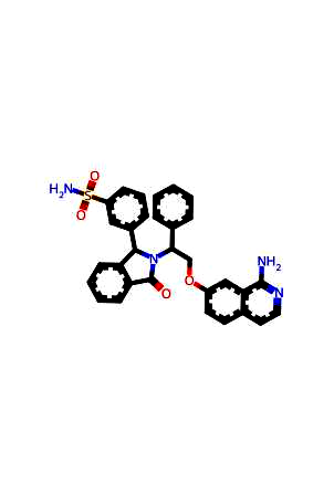 Nc1nccc2ccc(OCC(c3ccccc3)N3C(=O)c4ccccc4C3c3cccc(S(N)(=O)=O)c3)cc12